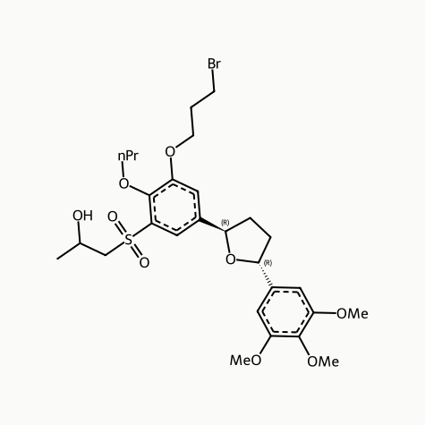 CCCOc1c(OCCCBr)cc([C@H]2CC[C@H](c3cc(OC)c(OC)c(OC)c3)O2)cc1S(=O)(=O)CC(C)O